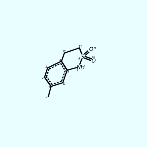 Cc1ccc2c(c1)NS(=O)(=O)CC2